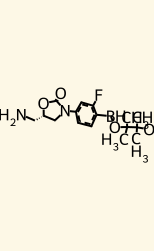 CC(C)(O)C(C)(C)OBc1ccc(N2C[C@H](CN)OC2=O)cc1F